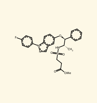 COC(=O)CCS(=O)(=O)N[C@@H](C)[C@@H](Oc1ccc2c(cnn2-c2ccc(F)cc2)c1)c1ccccc1